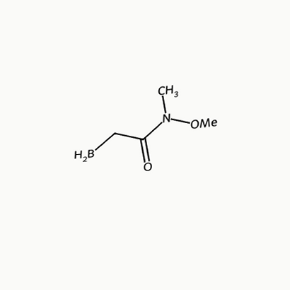 BCC(=O)N(C)OC